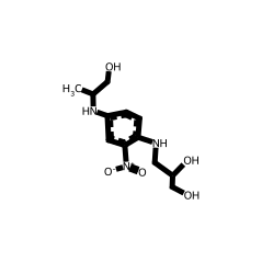 CC(CO)Nc1ccc(NCC(O)CO)c([N+](=O)[O-])c1